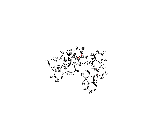 CC1CC=C(N(c2ccc3c(c2)C(C)(C)c2ccccc2-3)c2ccccc2-c2ccccc2)C=C1c1ccc2c(c1Nc1ccccc1)C1(c3ccccc3-c3ccccc31)c1ccccc1-2